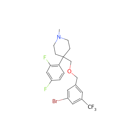 CN1CCC(COCc2cc(Br)cc(C(F)(F)F)c2)(c2ccc(F)cc2F)CC1